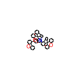 c1ccc2c(c1)Oc1ccccc1C21c2ccccc2-c2c(N(c3ccc(-c4cccc5oc6ccccc6c45)cc3)c3cccc4c3C3(c5ccccc5Oc5ccccc53)c3ccccc3-4)cccc21